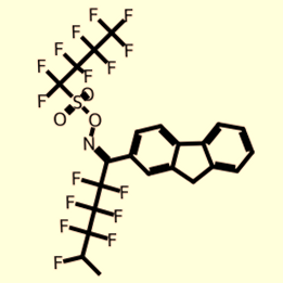 CC(F)C(F)(F)C(F)(F)C(F)(F)/C(=N/OS(=O)(=O)C(F)(F)C(F)(F)C(F)(F)C(F)(F)F)c1ccc2c(c1)Cc1ccccc1-2